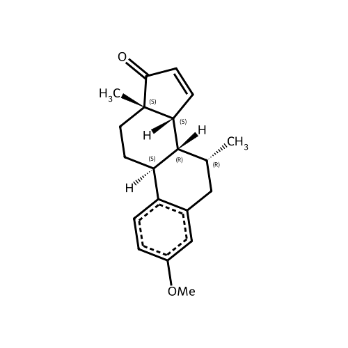 COc1ccc2c(c1)C[C@@H](C)[C@@H]1[C@@H]2CC[C@]2(C)C(=O)C=C[C@H]12